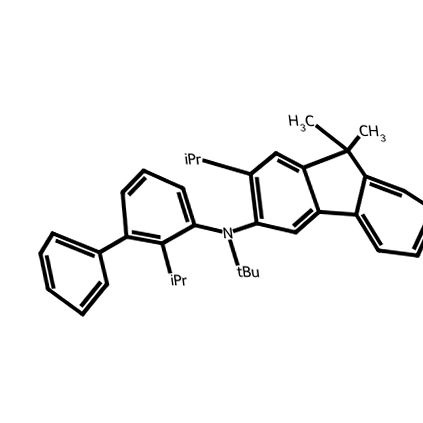 CC(C)c1cc2c(cc1N(c1cccc(-c3ccccc3)c1C(C)C)C(C)(C)C)-c1ccccc1C2(C)C